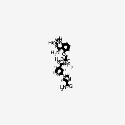 CC(C)(COc1cccc2c1C(N)=NS(O)(O)N2)NC(=O)c1ccnc(-n2cnc(C(N)=O)c2)c1